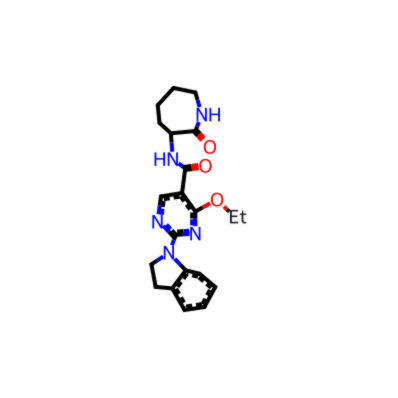 CCOc1nc(N2CCc3ccccc32)ncc1C(=O)NC1CCCCNC1=O